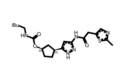 CCC(C)CNC(=O)O[C@@H]1CC[C@H](c2cc(NC(=O)Cc3cnc(C)s3)n[nH]2)C1